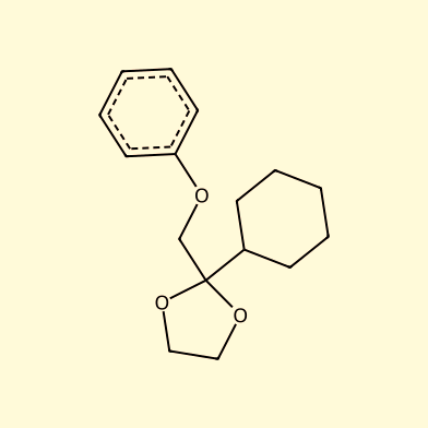 c1ccc(OCC2(C3CCCCC3)OCCO2)cc1